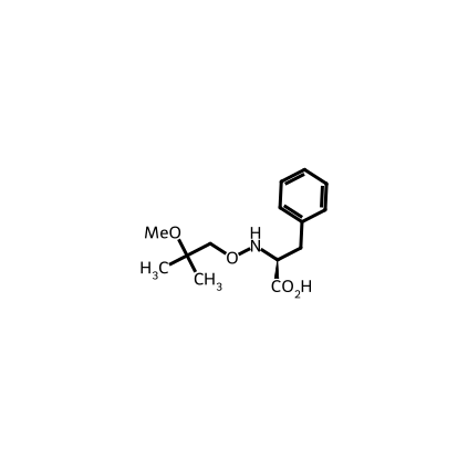 COC(C)(C)CON[C@@H](Cc1ccccc1)C(=O)O